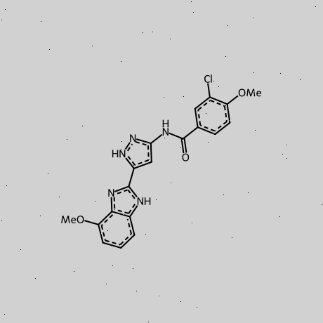 COc1ccc(C(=O)Nc2cc(-c3nc4c(OC)cccc4[nH]3)[nH]n2)cc1Cl